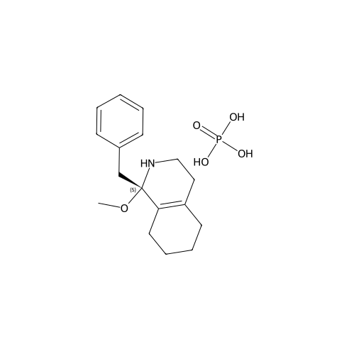 CO[C@]1(Cc2ccccc2)NCCC2=C1CCCC2.O=P(O)(O)O